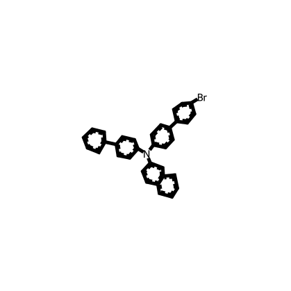 Brc1ccc(-c2ccc(N(c3ccc(-c4ccccc4)cc3)c3ccc4ccccc4c3)cc2)cc1